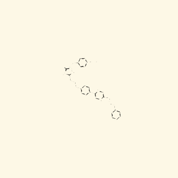 CCn1c(CCCc2ccc(-c3cnc(NSCc4ccccc4)cn3)cc2)nn(Cc2ccc(C(C)(C)C)cc2)c1=O